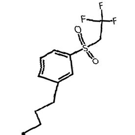 CCCCc1cccc(S(=O)(=O)CC(F)(F)F)c1